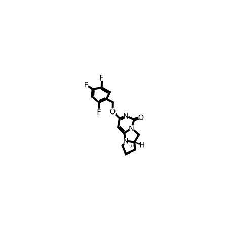 O=c1nc(OCc2cc(F)c(F)cc2F)cc2n1C[C@@H]1CCCN21